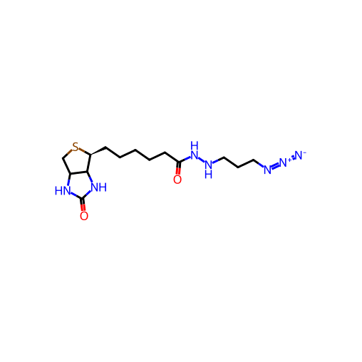 [N-]=[N+]=NCCCNNC(=O)CCCCC[C@@H]1SCC2NC(=O)NC21